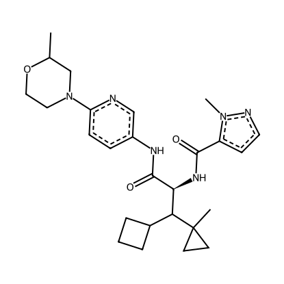 CC1CN(c2ccc(NC(=O)[C@@H](NC(=O)c3ccnn3C)C(C3CCC3)C3(C)CC3)cn2)CCO1